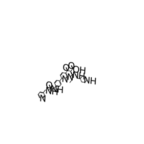 CCn1c(NCC2CCNCC2)c(C(=O)O)c(=O)c2ccc(-c3ccc(NC(=O)NCc4cccnc4)cc3)nc21